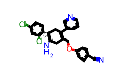 N#Cc1ccc(OCC2=C(c3cccnc3)C[C@@H](c3ccc(Cl)cc3Cl)[C@H](N)C2)cc1